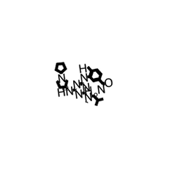 Cc1ccc(C(N)=O)cc1Nc1nc(N[C@H]2CCN(C3CCCC3)C2)nc(N(C)CC(C)C)n1